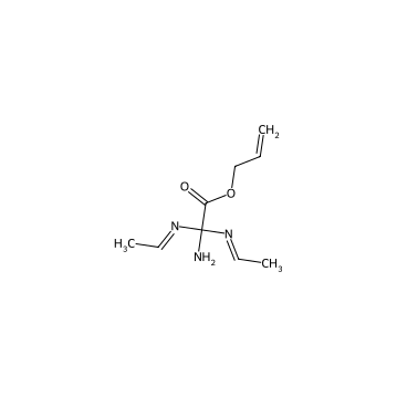 C=CCOC(=O)C(N)(N=CC)N=CC